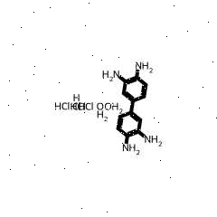 Cl.Cl.Cl.Cl.Nc1ccc(-c2ccc(N)c(N)c2)cc1N.O.O